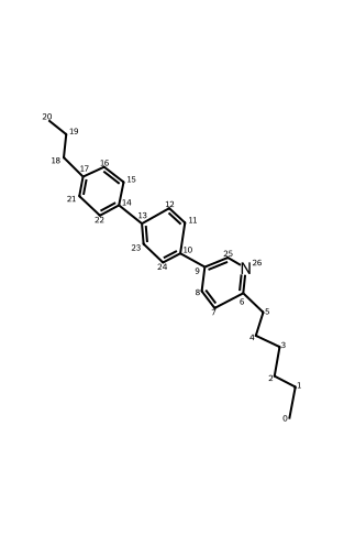 CCCCCCc1ccc(-c2ccc(-c3ccc(CCC)cc3)cc2)cn1